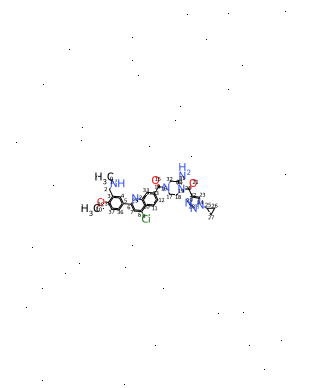 CNCc1cc(-c2cc(Cl)c3ccc(C(=O)N4CCN(C(=O)c5cn(C6CC6)nn5)[C@H](N)C4)cc3n2)ccc1OC